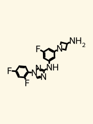 NC1CN(c2cc(F)cc(Nc3ncn(-c4ccc(F)cc4F)n3)c2)C1